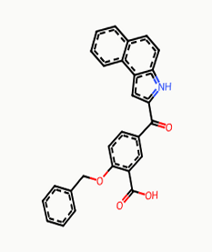 O=C(c1ccc(OCc2ccccc2)c(C(=O)O)c1)c1cc2c(ccc3ccccc32)[nH]1